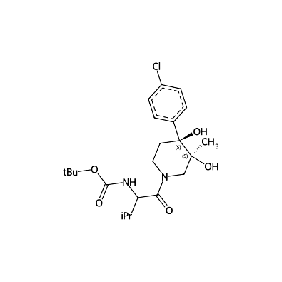 CC(C)C(NC(=O)OC(C)(C)C)C(=O)N1CC[C@](O)(c2ccc(Cl)cc2)[C@@](C)(O)C1